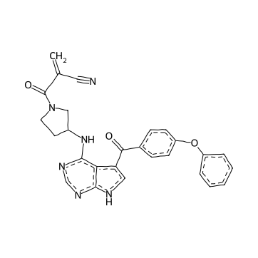 C=C(C#N)C(=O)N1CCC(Nc2ncnc3[nH]cc(C(=O)c4ccc(Oc5ccccc5)cc4)c23)C1